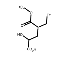 CC(C)CN(CC(O)C(=O)O)C(=O)OC(C)(C)C